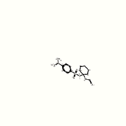 CN(C)c1ccc(S(=O)(=O)NC2(OC=O)CCCCC2)cc1